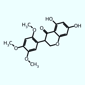 COc1cc(OC)c(C2COc3cc(O)cc(O)c3C2=O)cc1OC